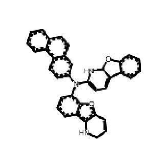 C1=Cc2oc3c(N(C4=CC=C5c6ccccc6OC5N4)c4ccc5c(ccc6ccccc65)c4)cccc3c2NC1